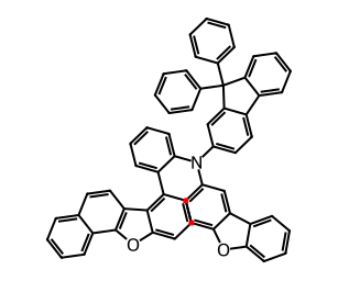 c1ccc(C2(c3ccccc3)c3ccccc3-c3ccc(N(c4ccc5oc6ccccc6c5c4)c4ccccc4-c4cccc5oc6c7ccccc7ccc6c45)cc32)cc1